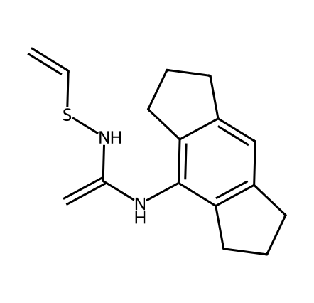 C=CSNC(=C)Nc1c2c(cc3c1CCC3)CCC2